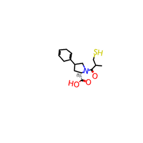 CC(CS)C(=O)N1CC(C2=CCC=CC2)C[C@H]1C(=O)O